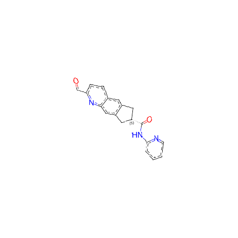 O=Cc1ccc2cc3c(cc2n1)C[C@@H](C(=O)Nc1ccccn1)C3